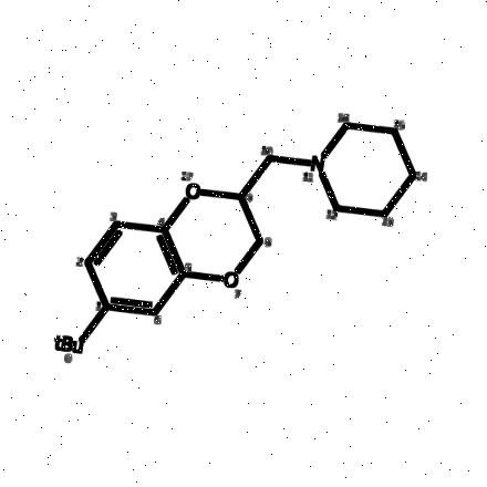 CC(C)(C)c1ccc2c(c1)OCC(CN1CCCCC1)O2